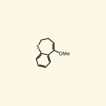 COC1=CCCSc2ccccc21